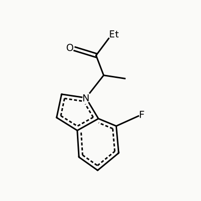 CCC(=O)C(C)n1ccc2cccc(F)c21